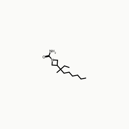 CCCCCCC(C)(CC)C1CN(C(N)=O)C1